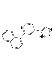 c1ccc2c(-c3cc(-c4cnc[nH]4)ccn3)cccc2c1